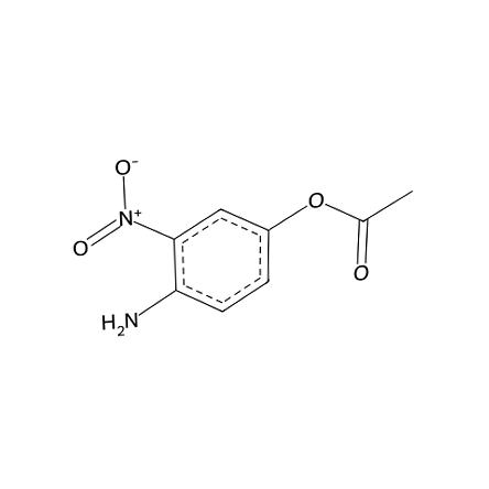 CC(=O)Oc1ccc(N)c([N+](=O)[O-])c1